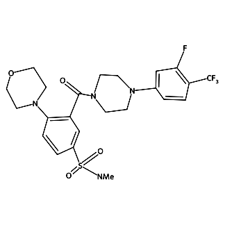 CNS(=O)(=O)c1ccc(N2CCOCC2)c(C(=O)N2CCN(c3ccc(C(F)(F)F)c(F)c3)CC2)c1